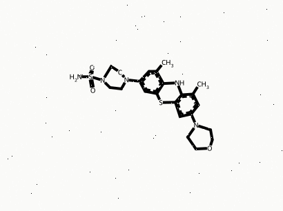 Cc1cc(N2CCOCC2)cc2c1Nc1c(C)cc(N3CCN(S(N)(=O)=O)CC3)cc1S2